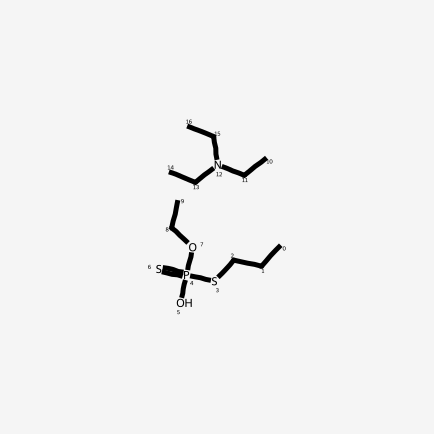 CCCSP(O)(=S)OCC.CCN(CC)CC